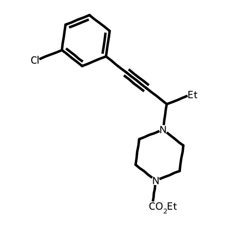 CCOC(=O)N1CCN(C(C#Cc2cccc(Cl)c2)CC)CC1